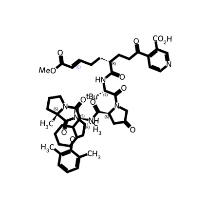 COC(=O)/C=C/CC[C@H](CCC(=O)c1ccncc1C(=O)O)C(=O)N[C@H](C(=O)N1CC(=O)C[C@H]1C(=O)N[C@H](C(=O)N1CCC[C@@]1(C)C(=O)N[C@H](C)COc1c(C)cccc1C)C1CCCCC1)C(C)(C)C